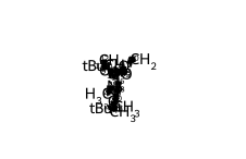 C=CCOC(=O)N1C[C@H](O[Si](C)(C)C(C)(C)C)C[C@H]1Cc1cc(CO[Si](C)(C)C(C)(C)C)n(C)n1